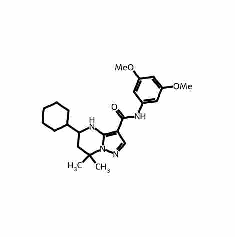 COc1cc(NC(=O)c2cnn3c2NC(C2CCCCC2)CC3(C)C)cc(OC)c1